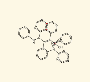 O=S(=O)(O)C(=C(c1ccccc1N(Nc1ccccc1)c1ncncn1)N(Nc1ccccc1)c1ncncn1)c1ccccc1